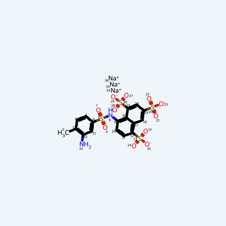 Cc1ccc(S(=O)(=O)Nc2ccc(S(=O)(=O)[O-])c3cc(S(=O)(=O)[O-])cc(S(=O)(=O)[O-])c23)cc1N.[Na+].[Na+].[Na+]